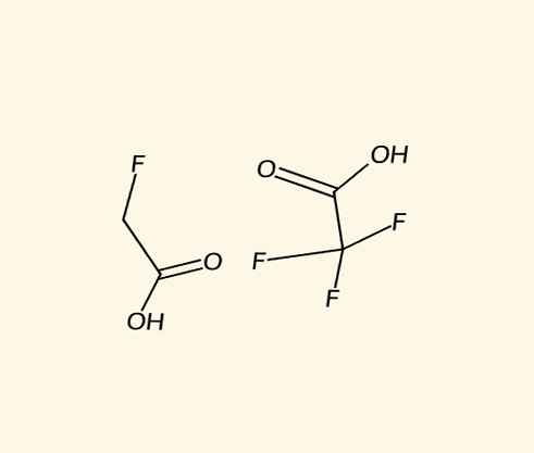 O=C(O)C(F)(F)F.O=C(O)CF